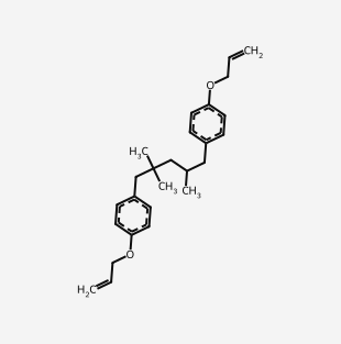 C=CCOc1ccc(CC(C)CC(C)(C)Cc2ccc(OCC=C)cc2)cc1